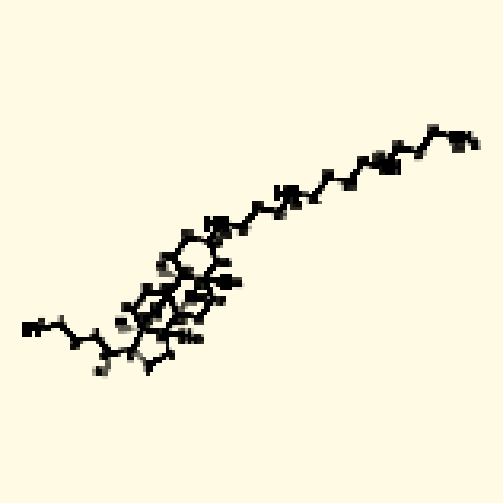 CC(C)CCC[C@@H](C)[C@H]1CC[C@H]2[C@@H]3CC[C@H]4CC(NCCCNCCCCNCCCN)CC[C@]4(C)[C@H]3CC[C@]12C